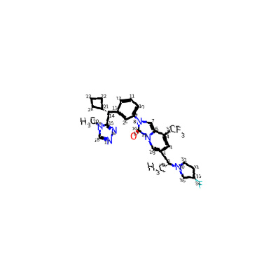 C[C@H](c1cc(C(F)(F)F)c2cn(-c3cccc([C@H](c4nncn4C)C4CCC4)c3)c(=O)n2c1)N1CC[C@@H](F)C1